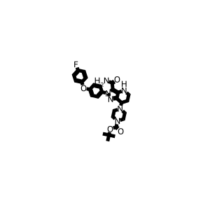 CC(C)(C)OC(=O)N1CCN(C2CCNc3c2nn(-c2ccc(Oc4ccc(F)cc4)cc2)c3C(N)=O)CC1